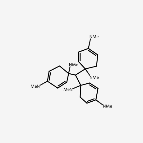 CNC1=CCC(NC)(C(C2(NC)C=CC(NC)=CC2)C2(NC)C=CC(NC)=CC2)C=C1